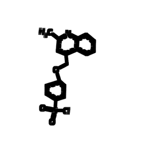 Cc1cc(COc2ccc(S(=O)(=O)Cl)cc2)c2ccccc2n1